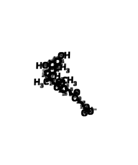 COc1cc(/C=C/C(=O)OCCCCO[N+](=O)[O-])ccc1OC(=O)CC[C@@H](C)[C@H]1CCC2C3C(CCC21C)C1(C)CC[C@@H](O)CC1C[C@H]3O